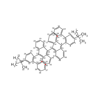 C[Si](C)(C)c1ccc(-c2c3ccccc3c(-c3c4ccccc4c(-c4ccc([Si](C)(C)C)cc4-c4ccccc4)c4ccccc34)c3ccccc23)c(-c2ccccc2)c1